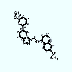 COc1ccc2c(OCc3nnc4ccc(-c5cccc(OC)n5)cn34)ccnc2c1